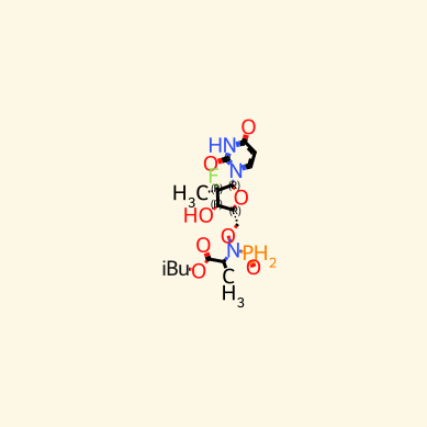 CCC(C)OC(=O)C(C)N(OC[C@H]1O[C@@H](n2ccc(=O)[nH]c2=O)[C@](C)(F)[C@@H]1O)[PH2]=O